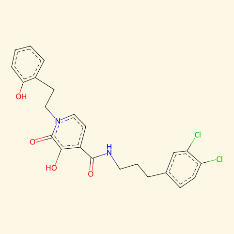 O=C(NCCCc1ccc(Cl)c(Cl)c1)c1ccn(CCc2ccccc2O)c(=O)c1O